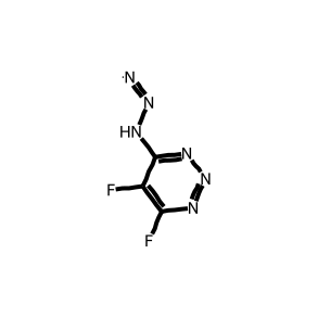 [N]=NNc1nnnc(F)c1F